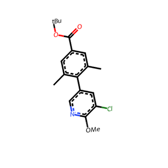 COc1ncc(-c2c(C)cc(C(=O)OC(C)(C)C)cc2C)cc1Cl